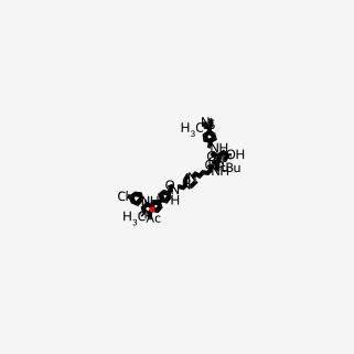 CC(=O)N1c2ccc(-c3ccc(C(=O)NCCN4CCN(CCCCC(=O)N[C@H](C(=O)N5C[C@H](O)C[C@H]5C(=O)NCc5ccc(-c6scnc6C)cc5)C(C)(C)C)CC4)cc3)cc2[C@H](Nc2ccc(Cl)cc2)C[C@@H]1C